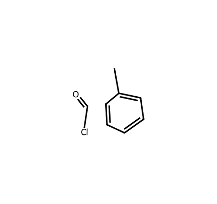 Cc1ccccc1.O=CCl